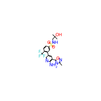 Cc1noc(-c2cc(-c3cc(S(=O)(=O)NCC(C)(C)O)ccc3C(F)(F)F)cnc2N)n1